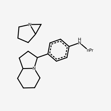 C1CC2CN2C1.CCCNc1ccc(C2CCC3CCCCN32)cc1